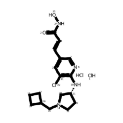 Cl.Cl.O=C(C=Cc1cnc(N[C@@H]2CCN(CC3CCC3)C2)c(Cl)c1)NO